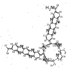 CCc1c2nc(c(CC)c3ccc([nH]3)c(-c3ccc4nc5cc6nc7cc(C(C)N)ccc7nc6cc5nc4c3)c3nc(c(-c4ccc5nc6cc7nc8cc(C(C)C)ccc8nc7cc6nc5c4)c4ccc1[nH]4)C=C3)C=C2